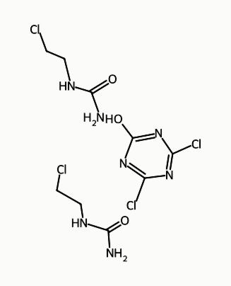 NC(=O)NCCCl.NC(=O)NCCCl.Oc1nc(Cl)nc(Cl)n1